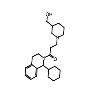 O=C(CCN1CCCC(CO)C1)N1CCc2ccccc2C1C1CCCCC1